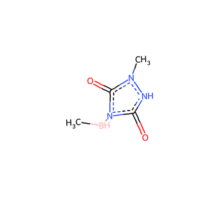 CBn1c(=O)[nH]n(C)c1=O